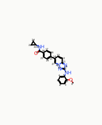 COc1ccccc1Nc1nc2ccc(-c3ccc(C(=O)NC4CC4)cc3)cn2n1